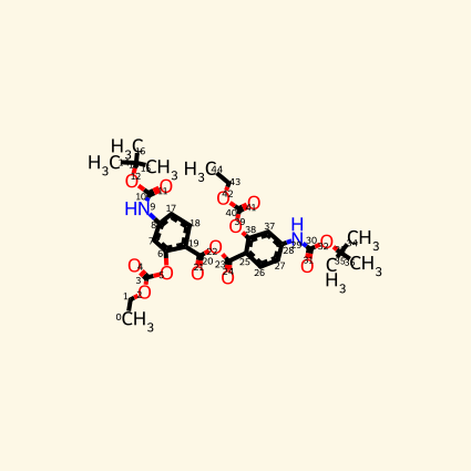 CCOC(=O)Oc1cc(NC(=O)OC(C)(C)C)ccc1C(=O)OC(=O)c1ccc(NC(=O)OC(C)(C)C)cc1OC(=O)OCC